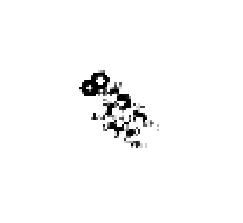 C[C@@H](C(=O)N[C@H](C(=O)N1C[C@@H](NC(=O)CN)C[C@H]1C(=O)N[C@@H]1CCCc2ccccc21)C(C)(C)C)N(C)C(=O)OC(C)(C)C